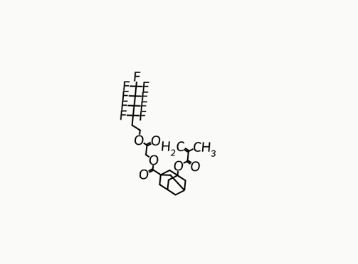 C=C(C)C(=O)OC12CC3CC(C1)CC(C(=O)OCC(=O)OCCC(F)(F)C(F)(F)C(F)(F)C(F)(F)F)(C3)C2